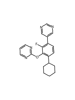 Fc1c(-c2cncnc2)ccc(C2CCCCC2)c1Oc1ncccn1